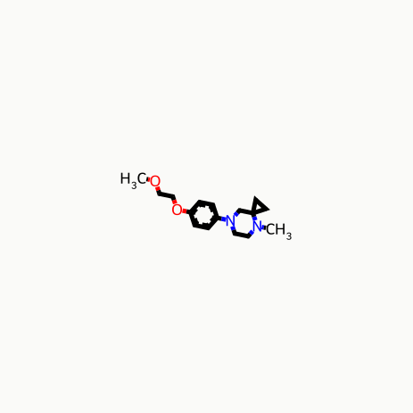 COCCOc1ccc(N2CCN(C)C3(CC3)C2)cc1